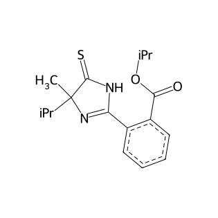 CC(C)OC(=O)c1ccccc1C1=NC(C)(C(C)C)C(=S)N1